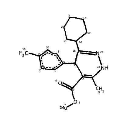 CC1=C(C(=O)OC(C)(C)C)C(c2ccc(C(F)(F)F)cc2)C(C2CCCCC2)=NN1